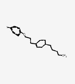 CCCCCC1CCC(CCCOc2ccc(I)cc2)CC1